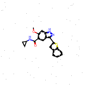 COc1cc2[nH]nc(-c3cc4ccccc4s3)c2cc1C(=O)NC1CC1